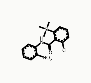 C[Si](C)(C)c1cccc(Cl)c1C(=O)Nc1ccccc1[N+](=O)[O-]